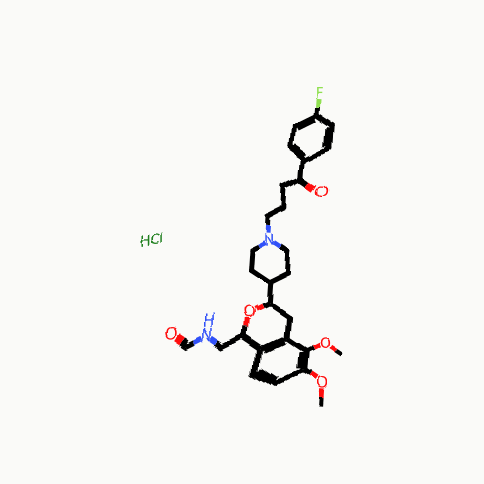 COc1ccc2c(c1OC)CC(C1CCN(CCCC(=O)c3ccc(F)cc3)CC1)OC2CNC=O.Cl